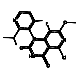 COc1nc(Cl)c2c(=O)[nH]c(=O)n(-c3c(C)ccnc3C(C)C)c2c1F